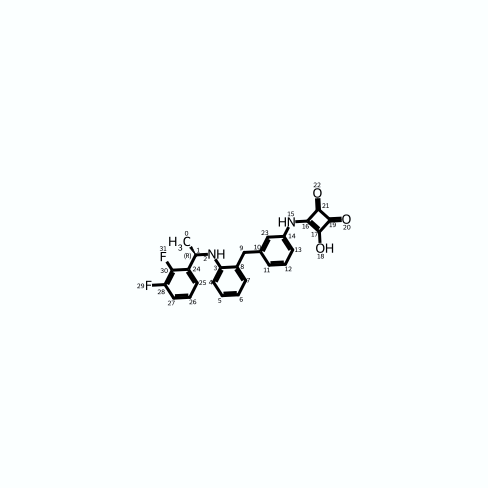 C[C@@H](Nc1ccccc1Cc1cccc(Nc2c(O)c(=O)c2=O)c1)c1cccc(F)c1F